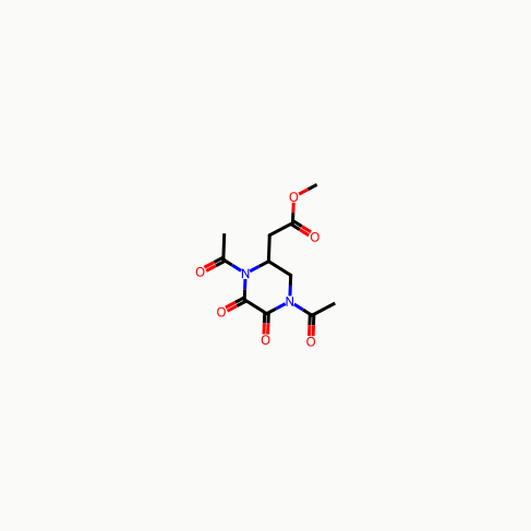 COC(=O)CC1CN(C(C)=O)C(=O)C(=O)N1C(C)=O